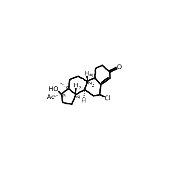 CC(=O)[C@@]1(O)CC[C@H]2[C@@H]3CC(Cl)C4=CC(=O)CC[C@]4(C)[C@H]3CC[C@@]21C